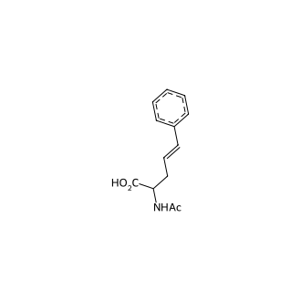 CC(=O)NC(CC=Cc1ccccc1)C(=O)O